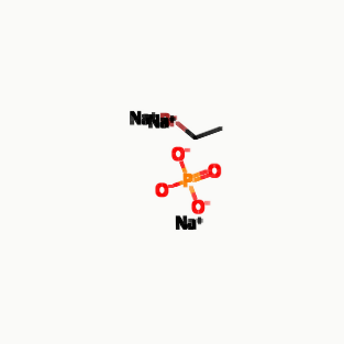 CCBr.O=P([O-])([O-])[O-].[Na+].[Na+].[Na+]